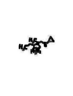 CCC(C)S(C)(CC)CSC1CC1